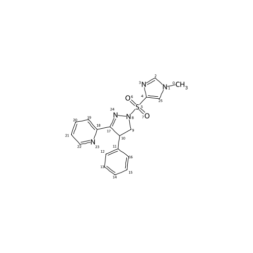 Cn1cnc(S(=O)(=O)N2CC(c3ccccc3)C(c3ccccn3)=N2)c1